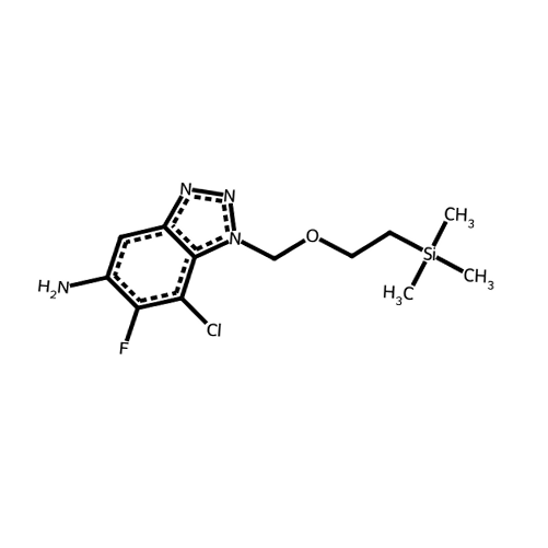 C[Si](C)(C)CCOCn1nnc2cc(N)c(F)c(Cl)c21